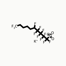 O=S(=O)([O-])C(F)(F)C(F)(F)C(F)(F)C(F)(F)C(F)CCCCC(F)(F)F.[K+]